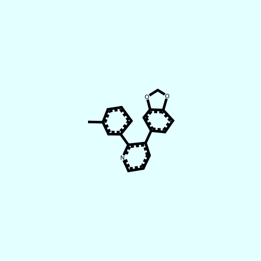 Cc1cccc(-c2ncccc2-c2ccc3c(c2)OCO3)c1